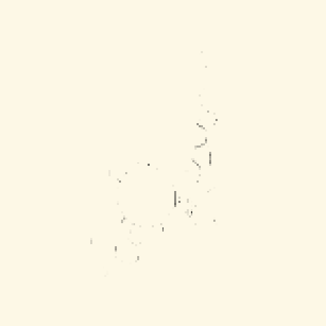 CC[C@H]1OC(=O)[C@H](C)[C@@H](O[C@H]2C[C@@](C)(OC)[C@@H](O)[C@H](C)O2)[C@H](C)[C@@H](O[C@@H]2O[C@H](C)C[C@H](N(C)Cc3ccc(-c4cn(CCCCCC(C)=O)nn4)cc3)[C@@H]2O)[C@](C)(O)C[C@@H](C)CN(C)[C@H](C)[C@@H](O)[C@]1(C)O